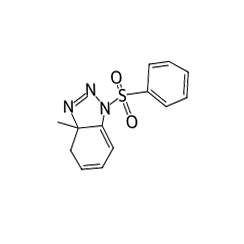 CC12CC=CC=C1N(S(=O)(=O)c1ccccc1)N=N2